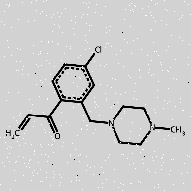 C=CC(=O)c1ccc(Cl)cc1CN1CCN(C)CC1